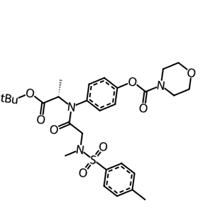 Cc1ccc(S(=O)(=O)N(C)CC(=O)N(c2ccc(OC(=O)N3CCOCC3)cc2)[C@@H](C)C(=O)OC(C)(C)C)cc1